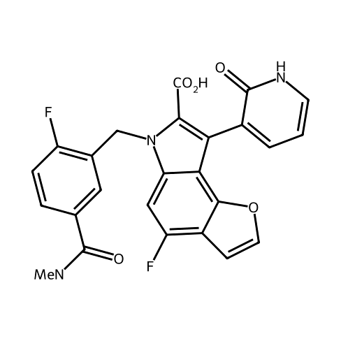 CNC(=O)c1ccc(F)c(Cn2c(C(=O)O)c(-c3ccc[nH]c3=O)c3c4occc4c(F)cc32)c1